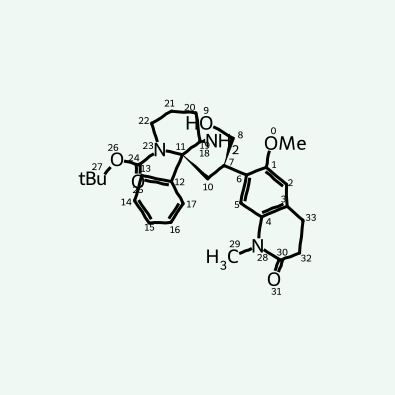 COc1cc2c(cc1[C@H](CO)C[C@]1(c3ccccc3)[C@H](N)CCCN1C(=O)OC(C)(C)C)N(C)C(=O)CC2